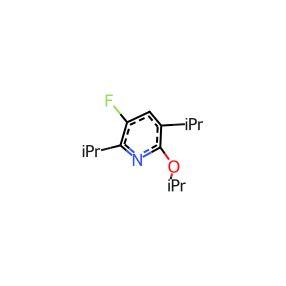 CC(C)Oc1nc(C(C)C)c(F)cc1C(C)C